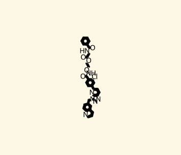 O=C(CNC(=O)c1ccccc1)OCCONC(=O)c1ccc(-c2ccc3nnn(Cc4ccc5ncccc5c4)c3n2)cc1Cl